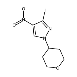 O=[N+]([O-])c1cn(C2CCOCC2)nc1I